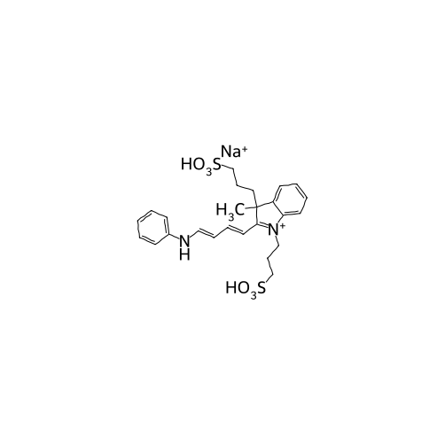 CC1(CCCS(=O)(=O)O)C(C=CC=CNc2ccccc2)=[N+](CCCS(=O)(=O)O)c2ccccc21.[Na+]